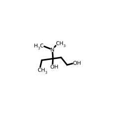 CCC(O)(CCO)N(C)C